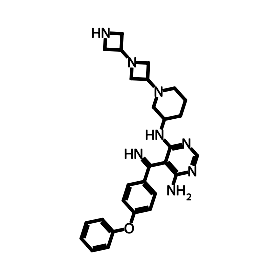 N=C(c1ccc(Oc2ccccc2)cc1)c1c(N)ncnc1NC1CCCN(C2CN(C3CNC3)C2)C1